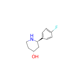 O[C@@H]1CCN[C@@H](c2ccc(F)cc2)C1